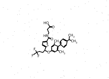 Cc1cc(OC(CCC(F)(F)F)c2ccc(C(=O)NCCC(=O)O)s2)cc(C)c1-c1ccc(C(C)C)cc1